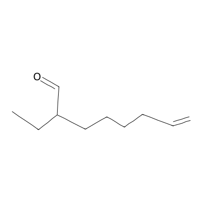 C=CCCCCC(C=O)CC